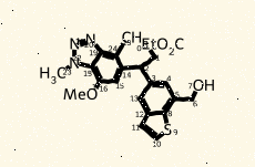 CCOC(=O)CC(c1cc(CO)c2sccc2c1)c1cc(OC)c2c(nnn2C)c1C